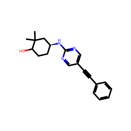 CC1(C)C[C@@H](Nc2ncc(C#Cc3ccccc3)cn2)CCC1O